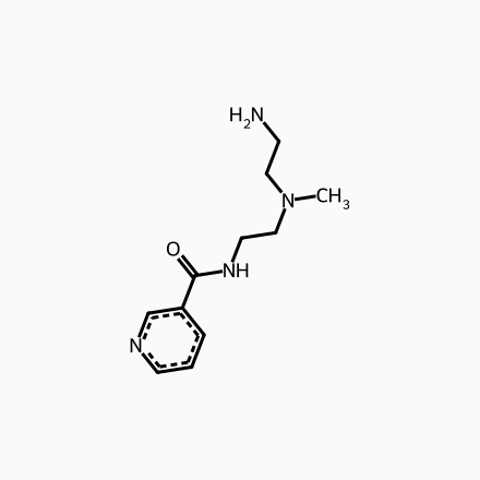 CN(CCN)CCNC(=O)c1cccnc1